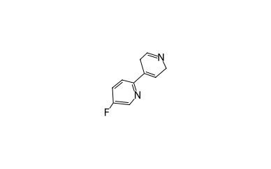 Fc1ccc(C2=CCN=CC2)nc1